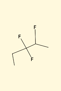 CCC(F)(F)C(C)F